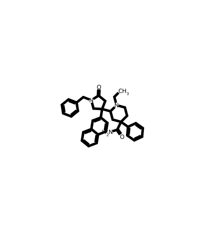 CCN1CCC(C(N)=O)(c2ccccc2)CC1C1(c2ccc3ccccc3c2)CC(=O)N(Cc2ccccc2)C1